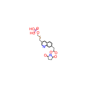 O=C(Cc1ccc2cc(CSCOP(=O)(O)O)cnc2c1)ON1C(=O)CCC1=O